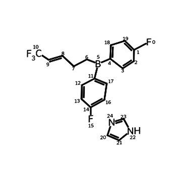 Fc1ccc(B(CCC=CC(F)(F)F)c2ccc(F)cc2)cc1.c1c[nH]cn1